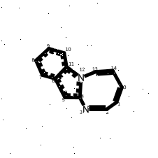 C1=CC=Nc2cc3ccccc3n2C=C1